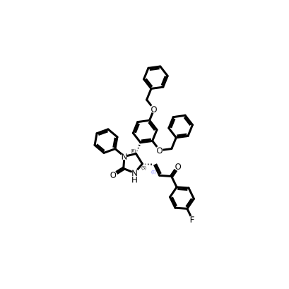 O=C(/C=C/[C@@H]1NC(=O)N(c2ccccc2)[C@@H]1c1ccc(OCc2ccccc2)cc1OCc1ccccc1)c1ccc(F)cc1